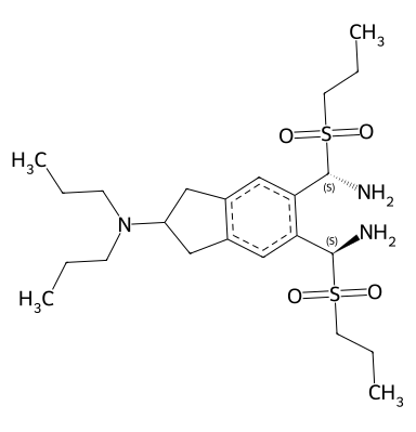 CCCN(CCC)C1Cc2cc([C@@H](N)S(=O)(=O)CCC)c([C@@H](N)S(=O)(=O)CCC)cc2C1